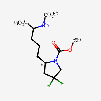 CCOC(=O)NC(CCC[C@@H]1CC(F)(F)CN1C(=O)OC(C)(C)C)C(=O)O